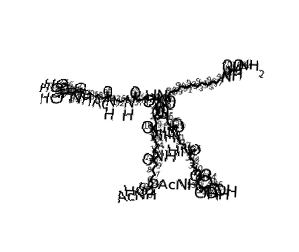 CC(=O)NC[C@@H](OO)OCCCCC(=O)NCCCNC(=O)CCOCC(COCCC(=O)NCCCNC(=O)CCCCO[C@@H]1OCC(CO)[C@H](O)C(O)C1NC(C)=O)(COCCC(=O)NCCCNC(=O)CCCCO[C@@H]1OC2C3(CO)C(C(O)[C@H]3O)C21NC(C)=O)NC(=O)CCCCCCCCCCCNC(=O)CON